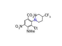 CCc1c(NC)c([N+](=O)[O-])cc(C(=O)O)c1N1CCC(C(F)(F)F)CC1